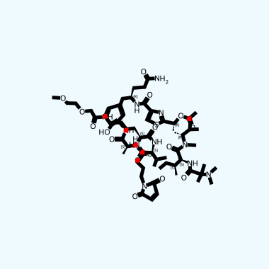 CC[C@H](C)[C@H](NC(=O)C(C)(C)N(C)C)C(=O)N(C)[C@H](C[C@@H](OC(C)=O)c1nc(C(=O)N[C@H](CCC(N)=O)Cc2ccc(O)c(NC(=O)[C@H](C)NC(=O)[C@@H](NC(=O)[C@H](CCCCNC(=O)COCCOC)NC(=O)CCCN3C(=O)C=CC3=O)C(C)C)c2)cs1)C(C)C